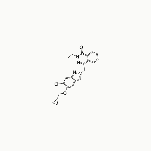 CCn1nc(Cn2cc3cc(OCC4CC4)c(Cl)cc3n2)c2ccccc2c1=O